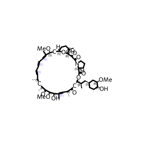 CO[C@H]1C[C@@H]2CC[C@@H](C)[C@@](O)(O2)C(=O)C(=O)N2CCC[C@H]2C(=O)O[C@H]([C@H](C)C[C@@H]2CC[C@@H](O)[C@H](OC)C2)CC(=O)[C@H](C)/C=C(\C)[C@@H](O)[C@@H](OC)C(=O)[C@H](C)C[C@H](C)/C=C/C=C/C=C/1C